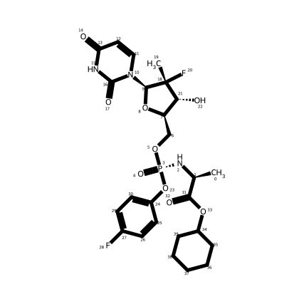 C[C@H](N[P@](=O)(OC[C@H]1O[C@@H](n2ccc(=O)[nH]c2=O)[C@](C)(F)[C@@H]1O)Oc1ccc(F)cc1)C(=O)OC1CCCCC1